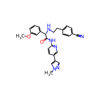 COc1cccc([C@@H](NCCc2ccc(C#N)cc2)C(=O)Nc2ccc(-c3cnn(C)c3)cn2)c1